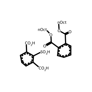 CCCCCCCCOC(=O)c1ccccc1C(=O)OCCCCCCCC.O=C(O)c1cccc(C(=O)O)c1S(=O)(=O)O